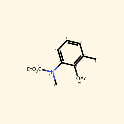 CCOC(=O)N(C)c1cccc(C)c1OC(C)=O